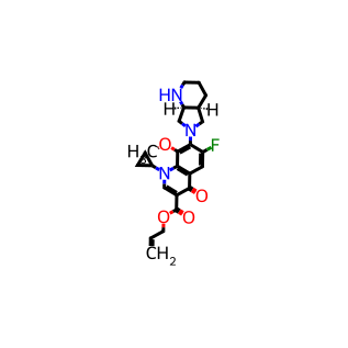 C=CCOC(=O)c1cn(C2CC2)c2c(OC)c(N3C[C@@H]4CCCN[C@@H]4C3)c(F)cc2c1=O